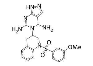 COc1cccc(S(=O)(=O)N2CC(N3C(N)=Nc4[nH]ncc4C3N)Cc3ccccc32)c1